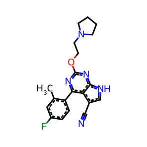 Cc1cc(F)ccc1-c1nc(OCCN2CCCC2)nc2[nH]cc(C#N)c12